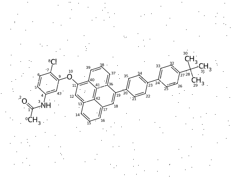 CC(=O)Nc1ccc(Cl)c(Oc2cc3cccc4cc(-c5ccc(-c6ccc(C(C)(C)C)cc6)cc5)c5cccc2c5c34)c1